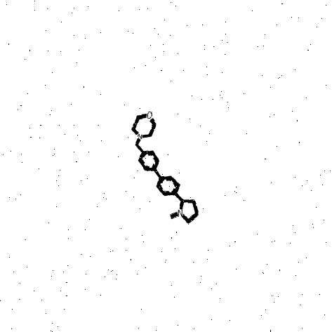 CN1CCCC1c1ccc(-c2ccc(CN3CCOCC3)cc2)cc1